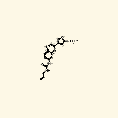 C=CCNC(=S)Nc1ccc2ncc(-c3csc(C(=O)OCC)c3)nc2n1